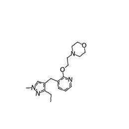 CCc1nn(C)cc1Cc1cccnc1OCCN1CCOCC1